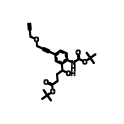 C#CCOCC#Cc1ccc(NC(=O)OC(C)(C)C)c(C(O)CCC(=O)OC(C)(C)C)c1